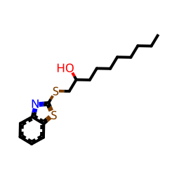 CCCCCCCCC(O)CSc1nc2ccccc2s1